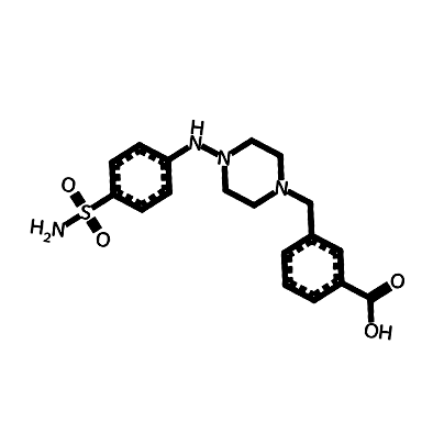 NS(=O)(=O)c1ccc(NN2CCN(Cc3cccc(C(=O)O)c3)CC2)cc1